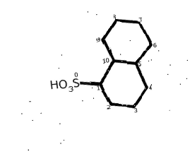 O=S(=O)(O)C1CCCC2CCCCC21